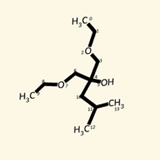 CCOCC(O)(COCC)CC(C)C